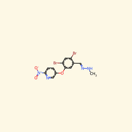 CNN=Cc1cc(Oc2ccc([N+](=O)[O-])nc2)c(Br)cc1Br